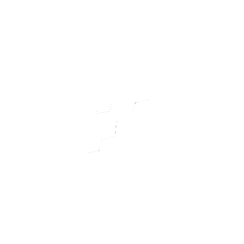 CC=C(C)C(=O)OC(CCC(C)O)C(C)O